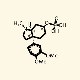 COc1ccc([C@@]23CC[C@H](OP(=O)(O)O)C[C@@H]2N(C)CC3)cc1OC